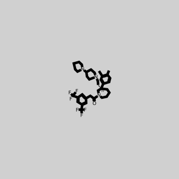 Cc1ccc([C@@]2(CCN3CCC(N4CCCCC4)CC3)CCCCN(C(=O)Cc3cc(C(F)(F)F)cc(C(F)(F)F)c3)C2)cc1C